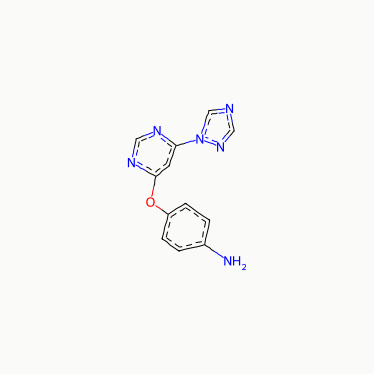 Nc1ccc(Oc2cc(-n3cncn3)ncn2)cc1